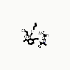 CCCCOCN(C(=O)CCl)c1c(CC)cccc1CC.CNC(=O)O/N=C(/C)C(C)SC